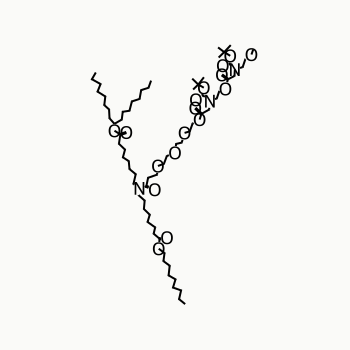 CCCCCCCCCOC(=O)CCCCCCCN(CCCCCCCC(=O)OC(CCCCCCCC)CCCCCCCC)C(=O)CCOCCOCCOCCOC(=O)CN(CCOC(=O)CN(CCOC)C(=O)OC(C)(C)C)C(=O)OC(C)(C)C